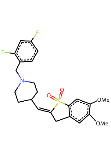 COc1cc2c(cc1OC)S(=O)(=O)C(=CC1CCN(Cc3ccc(F)cc3F)CC1)C2